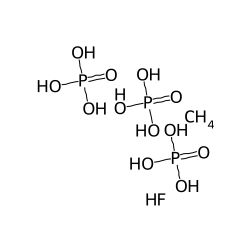 C.F.O=P(O)(O)O.O=P(O)(O)O.O=P(O)(O)O